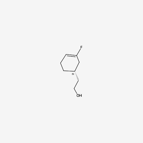 OCC[C@@H]1CCC=C(F)C1